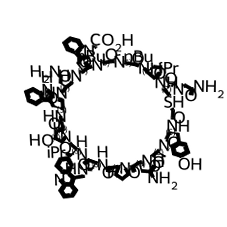 CCCC[C@H]1C(=O)N(C)[C@@H](CCCC)C(=O)N[C@@H](CC(C)C)C(=O)N[C@H](C(=O)NCC(N)=O)CSCC(=O)N[C@@H](Cc2ccc(O)cc2)C(=O)N(C)[C@@H](C)C(=O)N[C@@H](CC(N)=O)C(=O)N2CCC[C@H]2C(=O)N[C@@H](CNCc2c3ccccc3nc3ccccc23)C(=O)N[C@@H](CC(C)C)C(=O)N2C[C@H](O)C[C@H]2C(=O)N[C@@H](Cc2c[nH]c3ccccc23)C(=O)N[C@@H](CCN)C(=O)N[C@@H](Cc2cn(CC(=O)O)c3ccccc23)C(=O)N1C